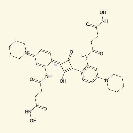 O=C(CCC(=O)NC1=CC(=[N+]2CCCCC2)C=C/C1=C1\C(=O)C(c2ccc(N3CCCCC3)cc2NC(=O)CCC(=O)NO)=C1O)NO